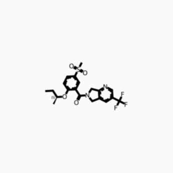 CC[C@H](C)Oc1ccc(S(C)(=O)=O)cc1C(=O)N1Cc2cc(C(F)(F)F)cnc2C1